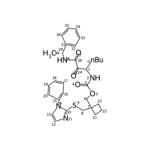 CCCCC(NC(=O)OCC1(CSc2nccn2-c2ccccc2)CCC1)C(=O)C(=O)N[C@H](C)c1ccccc1